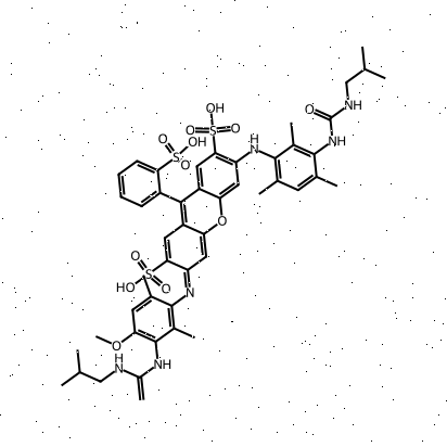 C=C(NCC(C)C)Nc1c(OC)cc(C)c(/N=c2/cc3oc4cc(Nc5c(C)cc(C)c(NC(=O)NCC(C)C)c5C)c(S(=O)(=O)O)cc4c(-c4ccccc4S(=O)(=O)O)c-3cc2S(=O)(=O)O)c1C